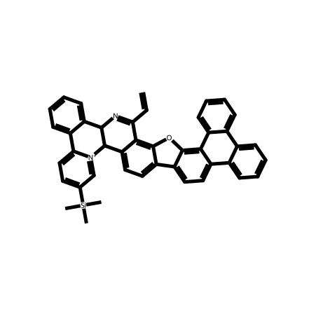 C=CC1=NC2c3ccccc3-c3ccc([Si](C)(C)C)c[n+]3C2c2ccc3c(oc4c3ccc3c5ccccc5c5ccccc5c34)c21